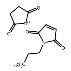 O=C(O)CCN1C(=O)C=CC1=O.O=C1CCC(=O)N1